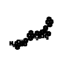 CC1(C)c2ccccc2-c2cc3oc4cc(-c5ccc6cc(-c7ccc8c(c7)C(C)(C)c7cc9c(cc7-8)c7ccc(-c8ccc%10ccc%11cccc%12ccc8c%10c%11%12)cc7n9-c7ccccc7)c7cccc8ccc5c6c87)ccc4c3cc21